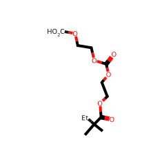 CCC(C)(C)C(=O)OCCOC(=O)OCCOC(=O)O